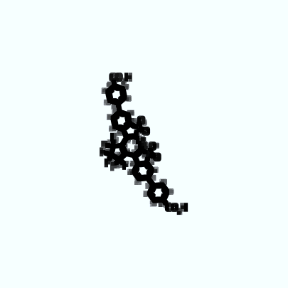 CCC1=C(C2=C(C3=C(CC)S(=O)(=O)c4cc(-c5ccc(C(=O)O)cc5)ccc43)C(F)(F)C(F)(F)C2(F)F)c2ccc(-c3ccc(C(=O)O)cc3)cc2S1(=O)=O